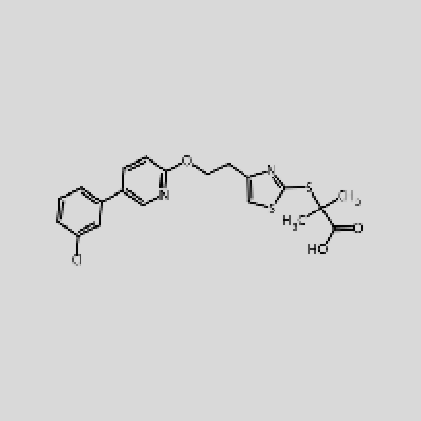 CC(C)(Sc1nc(CCOc2ccc(-c3cccc(Cl)c3)cn2)cs1)C(=O)O